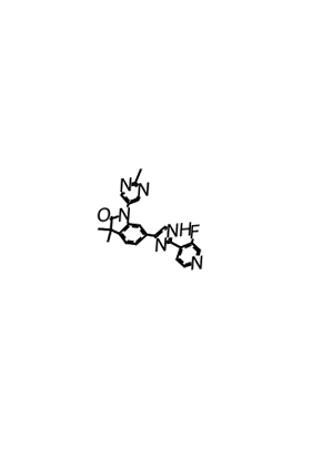 Cc1ncc(N2C(=O)C(C)(C)c3ccc(-c4c[nH]c(-c5ccncc5F)n4)cc32)cn1